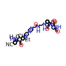 CCc1cc2c(cc1N1CCC(N3CCN(CCC(=O)NCCCNc4cccc5c(=C=O)n(C6CCC(=C=O)NC6=C=O)c(=C=O)c45)CC3)CC1)C(C)(C)c1[nH]c3cc(C#N)ccc3c1C2=C=O